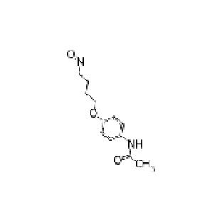 CC(=O)Nc1ccc(OCCCCN=O)cc1